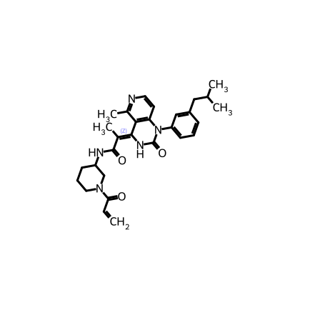 C=CC(=O)N1CCCC(NC(=O)/C(C)=C2\NC(=O)N(c3cccc(CC(C)C)c3)c3ccnc(C)c32)C1